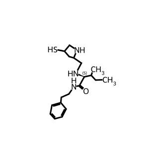 CCC(C)[C@H](NCC1CC(S)CN1)C(=O)NCCc1ccccc1